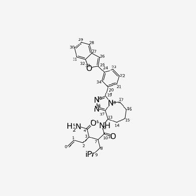 C=CCC(C(N)=O)C(CC(C)C)C(=O)NC1CCCCn2c(-c3cccc(-c4cc5ccccc5o4)c3)nnc21